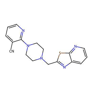 N#Cc1cccnc1N1CCN(Cc2nc3cccnc3s2)CC1